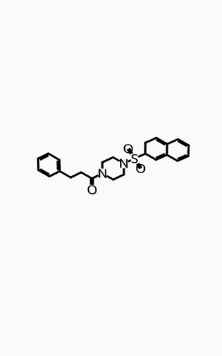 O=C(CCc1ccccc1)N1CCN(S(=O)(=O)C2C=c3ccccc3=CC2)CC1